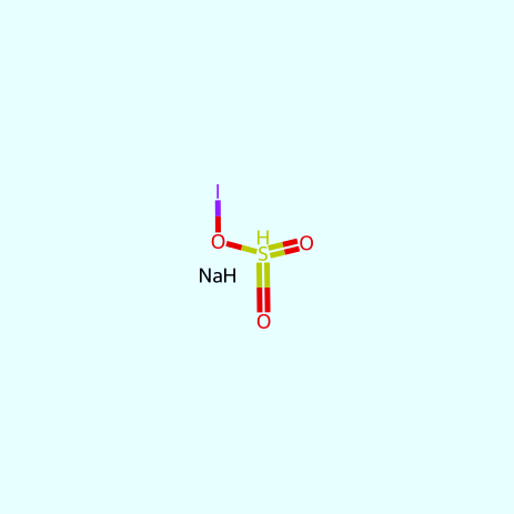 O=[SH](=O)OI.[NaH]